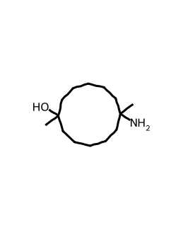 CC1(N)CCCCCC(C)(O)CCCCC1